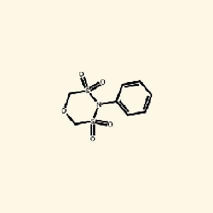 O=S1(=O)COCS(=O)(=O)N1c1ccccc1